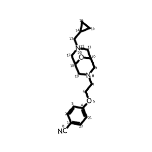 N#Cc1ccc(OCCN2CC3CN(CC4CC4)CC(C2)O3)cc1